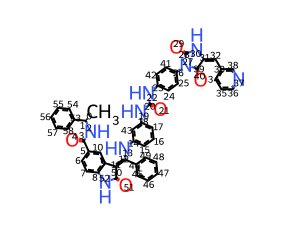 C[C@H](NC(=O)c1ccc2c(c1)C(=C(Nc1cccc(NC(=O)Nc3ccc(N4C(=O)NC(=Cc5cccnc5)C4=O)cc3)c1)c1ccccc1)C(=O)N2)c1ccccc1